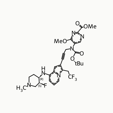 COC(=O)c1ncc(N(CC#Cc2cc3c(N[C@@H]4CCN(C)C[C@@H]4F)cccn3c2CC(F)(F)F)C(=O)OC(C)(C)C)c(OC)n1